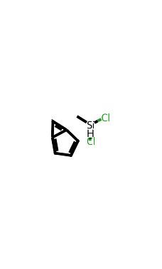 C[SiH](Cl)Cl.c1cc2cc-2c1